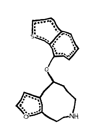 c1cc(OC2CCNCc3occc32)c2sccc2c1